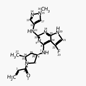 C=CC(=O)N1C[C@H](Nc2nc(Nc3cnn(C)c3)nc3[nH]cc(F)c23)C[C@@H]1C